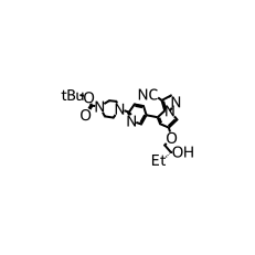 CC[C@@H](O)COc1cc(-c2ccc(N3CCN(C(=O)OC(C)(C)C)CC3)nc2)c2c(C#N)cnn2c1